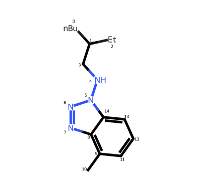 CCCCC(CC)CNn1nnc2c(C)cccc21